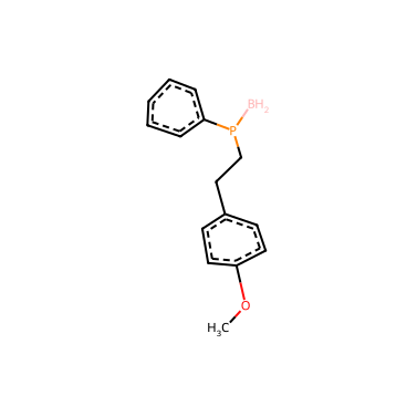 BP(CCc1ccc(OC)cc1)c1ccccc1